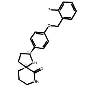 O=C1NCCC[C@]12CC[C@@H](c1ccc(OCc3ccccc3F)cc1)N2